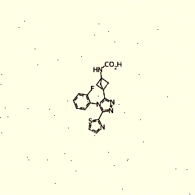 O=C(O)NC12CC(c3nnc(-c4nccs4)n3-c3ccccc3F)(C1)C2